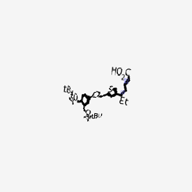 CC/C(=C/C=C/C(=O)O)c1csc(COc2ccc(CO[Si](C)(C)C(C)(C)C)c(CO[Si](C)(C)C(C)(C)C)c2)c1